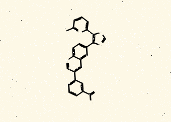 Cc1cccc(-c2[nH]cnc2-c2ccc3ncc(-c4cccc(C(=O)O)c4)cc3c2)n1